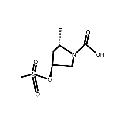 C[C@H]1C[C@H](OS(C)(=O)=O)CN1C(=O)O